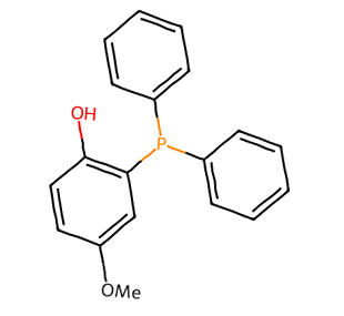 COc1ccc(O)c(P(c2ccccc2)c2ccccc2)c1